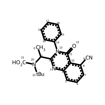 CC(c1nc2cccc(C#N)c2c(=O)n1-c1ccccc1)N(C(=O)O)C(C)(C)C